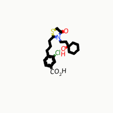 O=C(O)c1ccc(CCCC2SCC(=O)N2CCC2(O)CCCCC2)c(Cl)c1